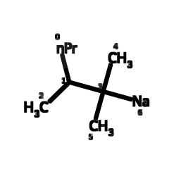 CCCC(C)[C](C)(C)[Na]